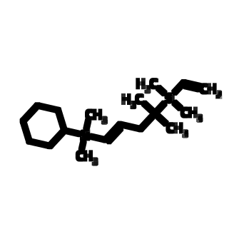 C=C[Si](C)(C)C(C)(C)C/C=C/[Si](C)(C)C1CCCCC1